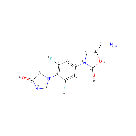 NCC1CN(c2cc(F)c(N3CNC(=O)C3)c(F)c2)C(=O)O1